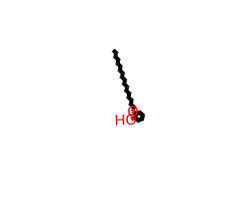 CCCCCCCCCCCCCCCCCCOc1ccccc1O